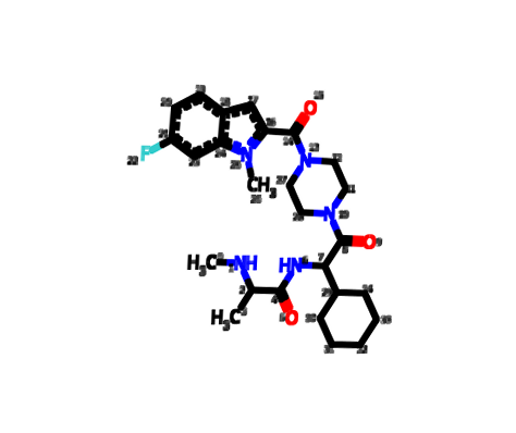 CNC(C)C(=O)NC(C(=O)N1CCN(C(=O)c2cc3ccc(F)cc3n2C)CC1)C1CCCCC1